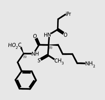 CC(=S)[C@@](CCCCN)(NC(=O)CC(C)C)C(=O)N[C@@H](Cc1ccccc1)C(=O)O